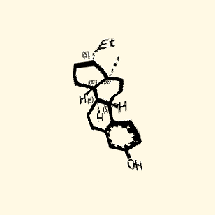 CC[C@H]1CC[C@H]2[C@@H]3CCc4cc(O)ccc4[C@H]3CC[C@]12C